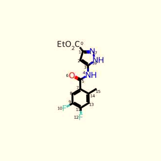 CCOC(=O)c1cc(NC(=O)c2cc(F)c(F)cc2C)[nH]n1